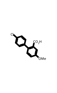 COc1ccc(-c2ccc(Cl)cc2)c(C(=O)O)c1